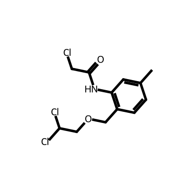 Cc1ccc(COCC(Cl)Cl)c(NC(=O)CCl)c1